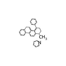 CC1CCC(c2ccccc2)=c2c1ccc1c2=CCc2ccccc2-1.c1ccncc1